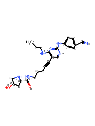 CCCNc1nc(Nc2ccc(C#N)cc2)ncc1C#CCCCNC(=O)[C@@H]1C[C@@H](O)CN1